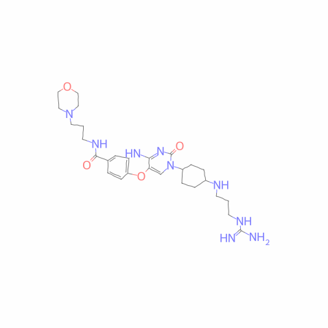 N=C(N)NCCCNC1CCC(n2cc3c(nc2=O)Nc2cc(C(=O)NCCCN4CCOCC4)ccc2O3)CC1